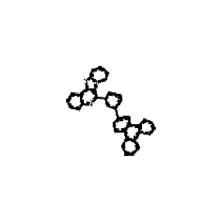 c1cc(-c2ccc3c4ccccc4c4ccccc4c3c2)cc(-c2nc3ccccc3c3nc4ccccn4c23)c1